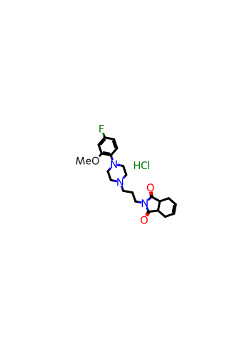 COc1cc(F)ccc1N1CCN(CCCN2C(=O)C3CC=CCC3C2=O)CC1.Cl